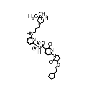 CC1(C)C[C@H](CCCNc2cccc(S(=O)(=O)NC(=O)c3ccc(N4CCC(OCCC5CCCC5)C4=O)nc3Cl)n2)CN1